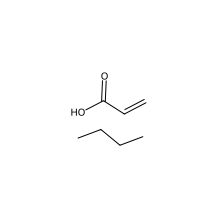 C=CC(=O)O.CCCC